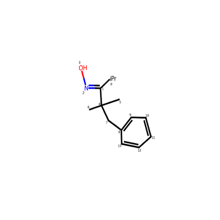 CC(C)/C(=N\O)C(C)(C)Cc1ccccc1